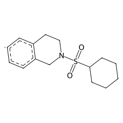 O=S(=O)(C1CCCCC1)N1CCc2c[c]ccc2C1